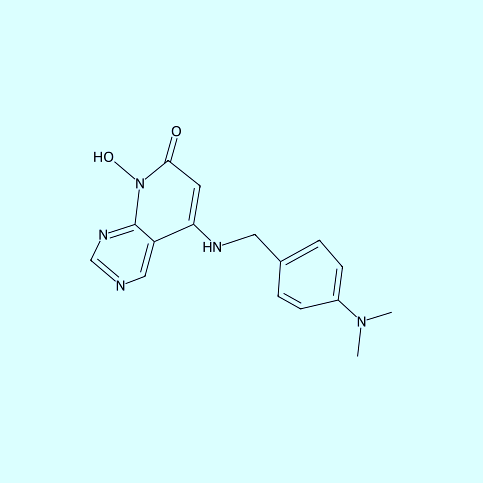 CN(C)c1ccc(CNc2cc(=O)n(O)c3ncncc23)cc1